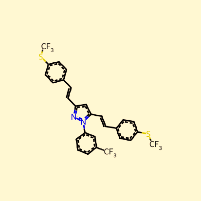 FC(F)(F)Sc1ccc(C=Cc2cc(C=Cc3ccc(SC(F)(F)F)cc3)n(-c3cccc(C(F)(F)F)c3)n2)cc1